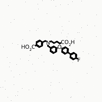 O=C(O)CCCCN(Cc1ccc(C(=O)O)cc1)Cc1cccc(Oc2ccc(-c3ccc(F)cc3)cc2)c1